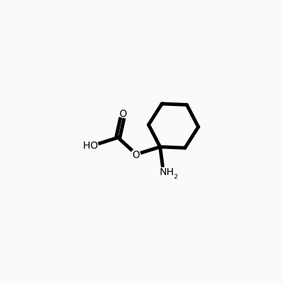 NC1(OC(=O)O)CCCCC1